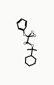 CC(C)(OC(=O)C1(Oc2ccccc2)OO1)C1CCCCC1